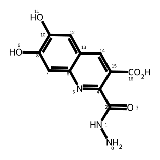 NNC(=O)c1nc2cc(O)c(O)cc2cc1C(=O)O